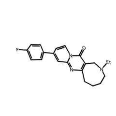 CCN1CCCCc2nc3cc(-c4ccc(F)cc4)ccn3c(=O)c2C1